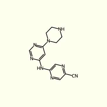 N#Cc1cnc(Nc2cc(N3CCNCC3)ncn2)cn1